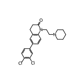 O=C1CCc2cc(-c3ccc(Cl)c(Cl)c3)ccc2N1CCN1CCCCC1